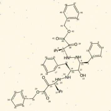 CC(C)[C@H](NN[C@@H](Cc1ccccc1)C(O)[C@H](Cc1ccccc1)NN[C@H](C(=O)C(=O)OCc1ccccc1)C(C)C)C(=O)C(=O)OCc1ccccc1